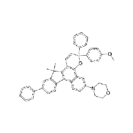 COc1ccc(C2(c3ccccc3)C=Cc3c4c(c5ccc(N6CCOCC6)cc5c3O2)-c2ccc(-c3ccccc3)cc2C4(C)C)cc1